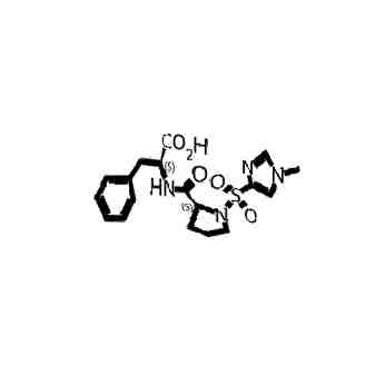 Cn1cnc(S(=O)(=O)N2CCC[C@H]2C(=O)N[C@@H](Cc2ccccc2)C(=O)O)c1